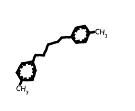 Cc1ccc(CCCCCc2ccc(C)cc2)cc1